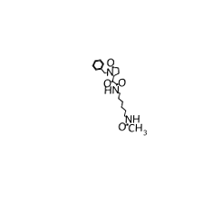 CC(=O)NCCCCCCNC(=O)C(=O)C1CCC(=O)N1Cc1ccccc1